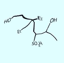 CCC(CC)(CO)C(C(C)O)S(=O)(=O)O